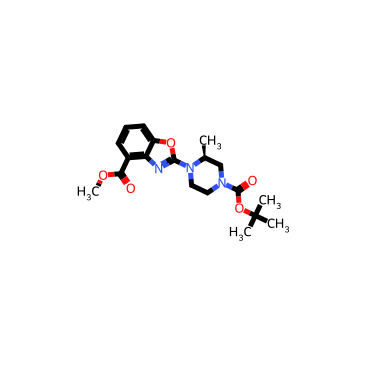 COC(=O)c1cccc2oc(N3CCN(C(=O)OC(C)(C)C)C[C@@H]3C)nc12